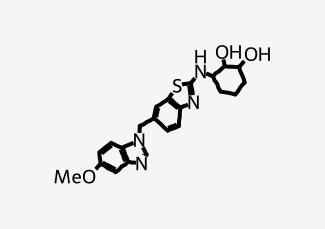 COc1ccc2c(c1)ncn2Cc1ccc2nc(NC3CCCC(O)C3O)sc2c1